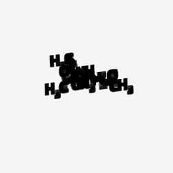 CCC(=O)[C@@H](NC(=O)CCCCC(C)=O)C(C)CC